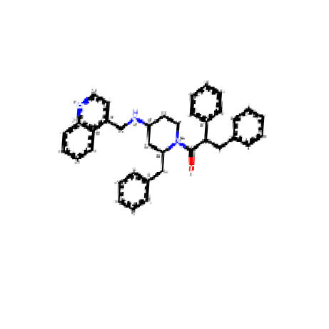 O=C(C(Cc1ccccc1)c1ccccc1)N1CCC(NCc2ccnc3ccccc23)CC1Cc1ccccc1